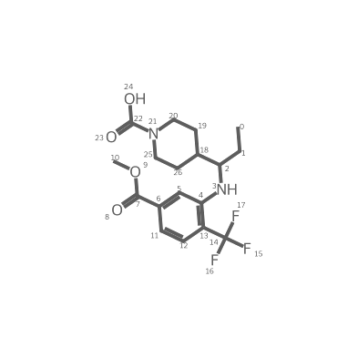 CCC(Nc1cc(C(=O)OC)ccc1C(F)(F)F)C1CCN(C(=O)O)CC1